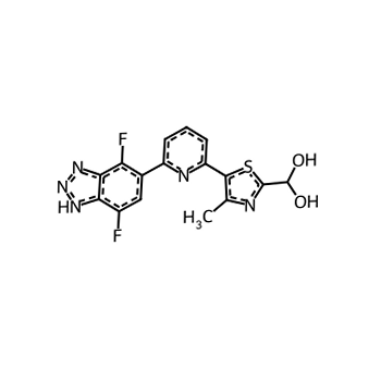 Cc1nc(C(O)O)sc1-c1cccc(-c2cc(F)c3[nH]nnc3c2F)n1